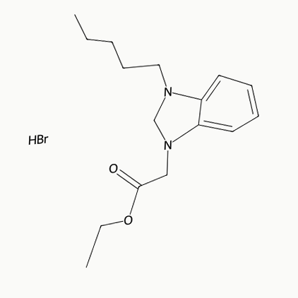 Br.CCCCCN1CN(CC(=O)OCC)c2ccccc21